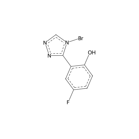 Oc1ccc(F)cc1-c1nncn1Br